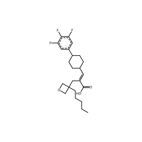 CCCCCC1(C/C(=C\C2CCC(c3cc(F)c(F)c(F)c3)CC2)C(=O)O)COC1